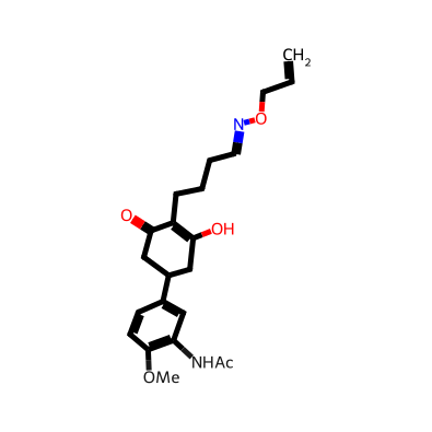 C=CCON=CCCCC1=C(O)CC(c2ccc(OC)c(NC(C)=O)c2)CC1=O